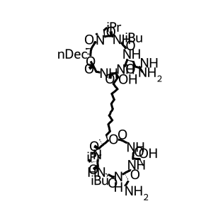 CCCCCCCCCC[C@H]1OC(=O)CNC(=O)[C@H]([C@@H](O)CCCCCCCCCCC[C@H]2OC(=O)CNC(=O)[C@H]([C@H](C)O)NC(=O)[C@H](CCN)NC(=O)[C@H]([C@@H](C)CC)NC(=O)[C@H](CC(C)C)N(C)C(=O)[C@@H]2C)NC(=O)[C@H](CCC(=N)N)NC(=O)[C@H]([C@@H](C)CC)NC(=O)[C@H](CC(C)C)N(C)C(=O)[C@@H]1C